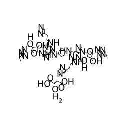 CCn1nnc([C@H]2O[C@@H](n3cnc4c(N[C@H]5CC[C@H](Nc6nc(NCCc7cn(C)cn7)nc7c6ncn7[C@@H]6O[C@H](c7nnn(CC)n7)[C@@H](O)[C@H]6O)CC5)nc(NCCc5cn(C)cn5)nc43)[C@H](O)[C@@H]2O)n1.O.O=C(O)C=CC(=O)O